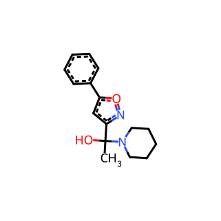 CC(O)(c1cc(-c2ccccc2)on1)N1CCCCC1